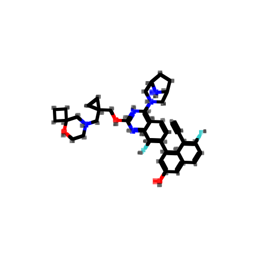 C#Cc1c(F)ccc2cc(O)cc(-c3ccc4c(N5CC6CCC(C5)N6)nc(OCC5(CN6CCOC7(CCC7)C6)CC5)nc4c3F)c12